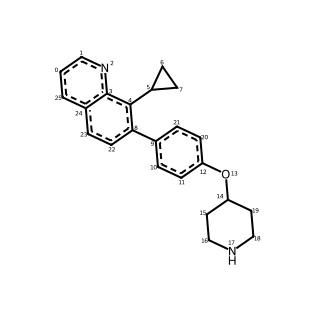 c1cnc2c(C3CC3)c(-c3ccc(OC4CCNCC4)cc3)ccc2c1